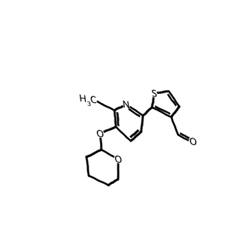 Cc1nc(-c2sccc2C=O)ccc1OC1CCCCO1